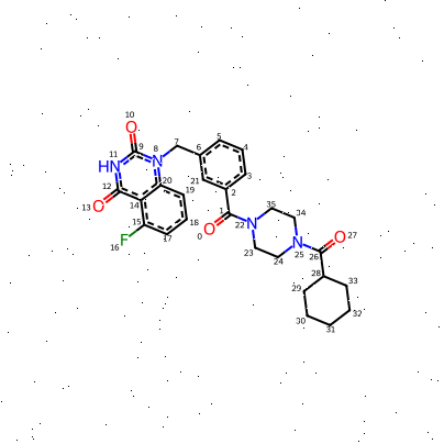 O=C(c1cccc(Cn2c(=O)[nH]c(=O)c3c(F)cccc32)c1)N1CCN(C(=O)C2CCCCC2)CC1